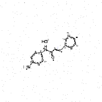 Cl.Nc1ccc(NC(=O)/C=C/c2cccnc2)cc1